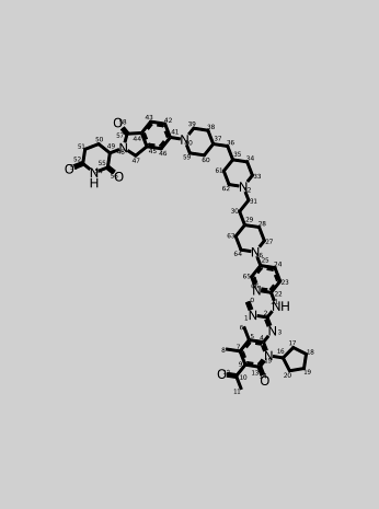 C=N/C(=N\c1c(C)c(C)c(C(C)=O)c(=O)n1C1CCCC1)Nc1ccc(N2CCC(CCN3CCC(CC4CCN(c5ccc6c(c5)CN(C5CCC(=O)NC5=O)C6=O)CC4)CC3)CC2)cn1